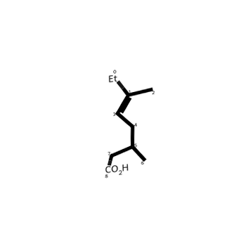 CC/C(C)=C/CC(C)CC(=O)O